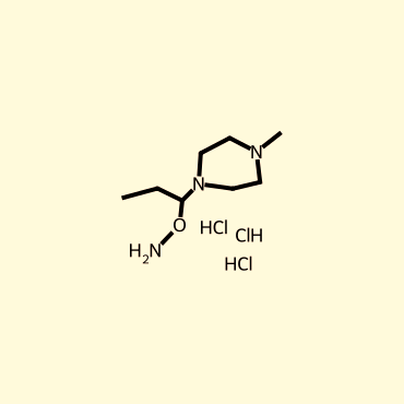 CCC(ON)N1CCN(C)CC1.Cl.Cl.Cl